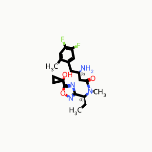 CC[C@@H](c1noc(C2(O)CC2)n1)N(C)C(=O)C[C@H](N)Cc1cc(F)c(F)cc1C